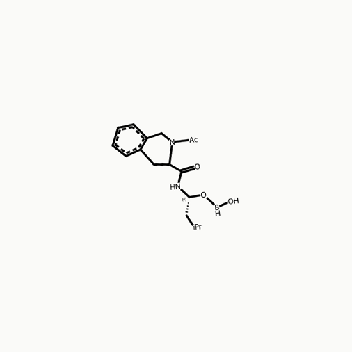 CC(=O)N1Cc2ccccc2CC1C(=O)N[C@@H](CC(C)C)OBO